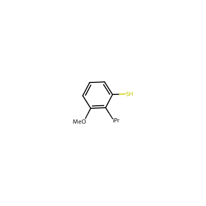 COc1cccc(S)c1C(C)C